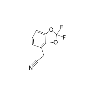 N#CCc1cccc2c1OC(F)(F)O2